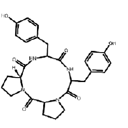 O=C1NC(Cc2ccc(O)cc2)C(=O)N2CCCC2C(=O)N2CCC[C@@H]2C(=O)NC1Cc1ccc(O)cc1